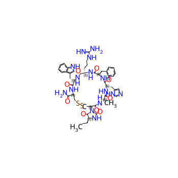 CCC[C@@H]1NC(=O)N([C@H]2CSSC[C@@H](C(N)=O)NC(=O)[C@H](Cc3c[nH]c4ccccc34)NC(=O)[C@H](CCCNC(=N)N)NC(=O)[C@@H](Cc3ccccc3)NC(=O)[C@H](Cc3cnc[nH]3)NC(=O)[C@@H](C)NC2=O)C1=O